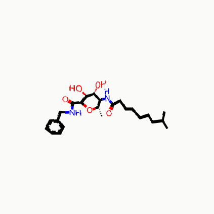 CC(C)CCCCCCC(=O)NC1[C@H](C)OC(C(=O)NCc2ccccc2)[C@@H](O)[C@@H]1O